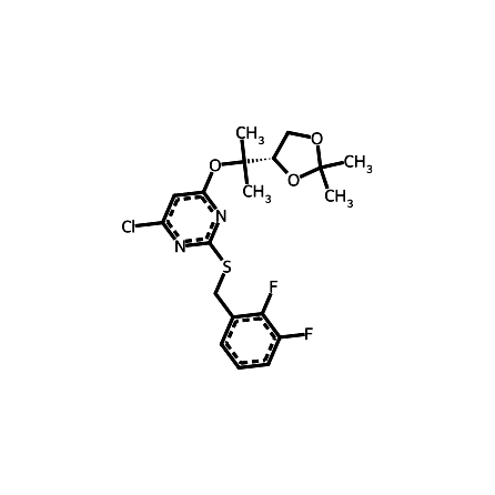 CC1(C)OC[C@@H](C(C)(C)Oc2cc(Cl)nc(SCc3cccc(F)c3F)n2)O1